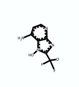 Nc1ccnc2nc(C(F)(F)Cl)n(O)c12